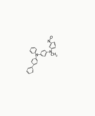 CN(c1ccc(N(c2ccccc2)c2ccc(-c3ccccc3)cc2)cc1)c1cccc(N=O)c1